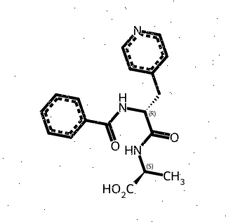 C[C@H](NC(=O)[C@@H](Cc1ccncc1)NC(=O)c1ccccc1)C(=O)O